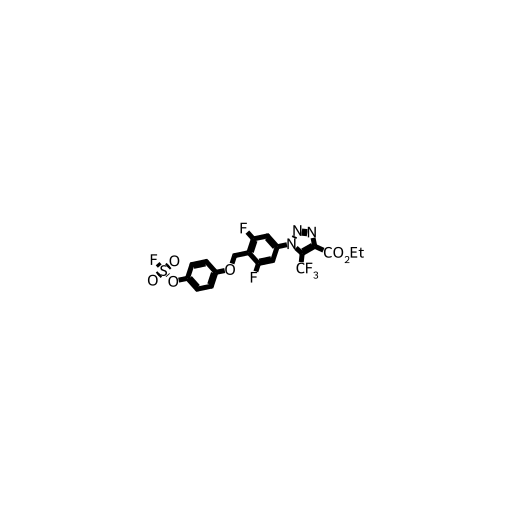 CCOC(=O)c1nnn(-c2cc(F)c(COc3ccc(OS(=O)(=O)F)cc3)c(F)c2)c1C(F)(F)F